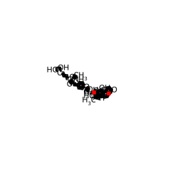 CC(=O)NC(Cc1ccc(OC(=O)OCC(=O)[C@@]2(O)[C@@H](C)C[C@H]3[C@@H]4CCC5=CC(=O)C=C[C@]5(C)[C@@]4(Cl)[C@@H](O)C[C@@]32C)cc1)C(=O)OCCCCON(O)O